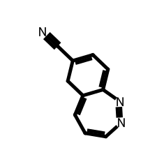 N#CC1=CC=C2N=NC=CC=C2C1